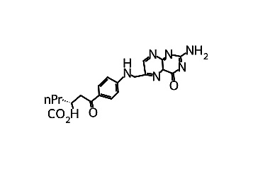 CCC[C@H](CC(=O)c1ccc(NCC2=NC3C(=O)N=C(N)N=C3N=C2)cc1)C(=O)O